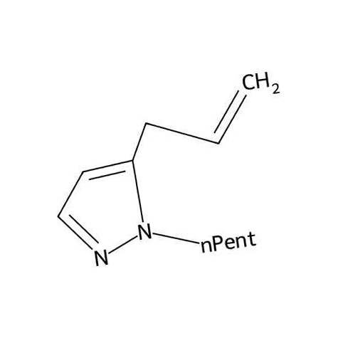 C=CCc1ccnn1CCCCC